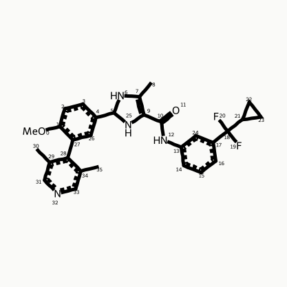 COc1ccc(C2NC(C)=C(C(=O)Nc3cccc(C(F)(F)C4CC4)c3)N2)cc1-c1c(C)cncc1C